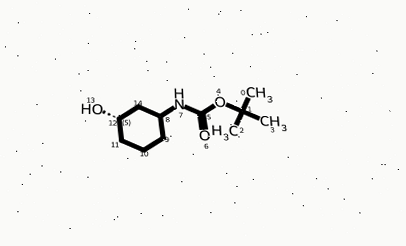 CC(C)(C)OC(=O)NC1CCC[C@H](O)C1